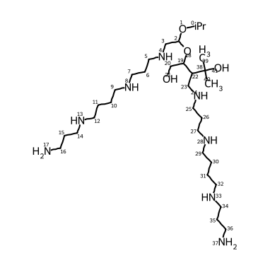 CC(C)OC(CNCCCNCCCCNCCCN)OC(CO)C(CNCCCNCCCCNCCCN)C(C)(C)O